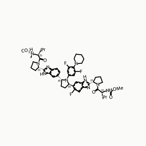 COC(=O)N[C@H](C(=O)N1CCC[C@H]1c1nc2cc(F)c([C@H]3CC[C@H](c4ccc5nc([C@@H]6CCCN6C(=O)[C@H](C(C)C)N(C)C(=O)O)[nH]c5c4)N3c3cc(F)c(N4CCCCC4)c(F)c3)cc2[nH]1)C(C)C